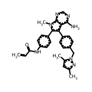 C=CC(=O)Nc1ccc(-c2c(-c3ccc(Cn4nc(C)cc4C)cc3)c3c(N)ncnc3n2C)cc1